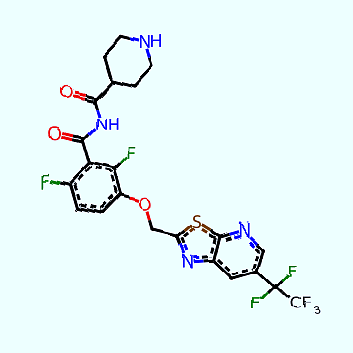 O=C(NC(=O)C1CCNCC1)c1c(F)ccc(OCc2nc3cc(C(F)(F)C(F)(F)F)cnc3s2)c1F